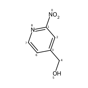 O=[N+]([O-])c1cc(CO)ccn1